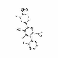 Cc1c(C#N)c(N2CCN(C=O)C(C)C2)nc(C2CC2)c1-c1cccnc1F